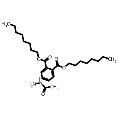 CC(=O)NN.CCCCCCCCOC(=O)c1ccccc1C(=O)OCCCCCCCC